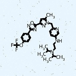 Cc1cc(-c2nc(-c3ccc(OC(F)(F)F)cc3)no2)nn1Cc1ccc(NCCN(C(C)C)C(C)C)cn1